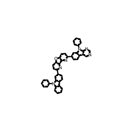 c1ccc(-n2c3ccccc3c3ccc(-c4ccc5oc6ccc(-c7ccc8c9cncnc9n(-c9ccccc9)c8c7)nc6c5n4)cc32)cc1